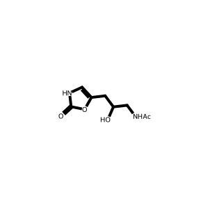 CC(=O)NCC(O)Cc1c[nH]c(=O)o1